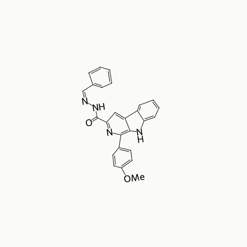 COc1ccc(-c2nc(C(=O)N/N=C\c3ccccc3)cc3c2[nH]c2ccccc23)cc1